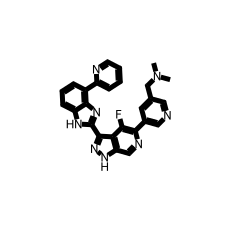 CN(C)Cc1cncc(-c2ncc3[nH]nc(-c4nc5c(-c6ccccn6)cccc5[nH]4)c3c2F)c1